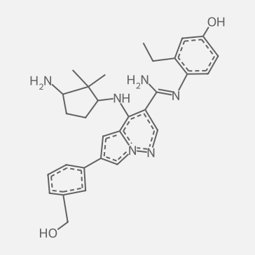 CCc1cc(O)ccc1/N=C(\N)c1cnn2cc(-c3cccc(CO)c3)cc2c1NC1CCC(N)C1(C)C